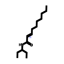 CCCCCCC/C=C/C(=O)NC(CC)CC